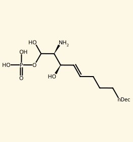 CCCCCCCCCCCCC/C=C/[C@@H](O)[C@H](N)C(O)OP(=O)(O)O